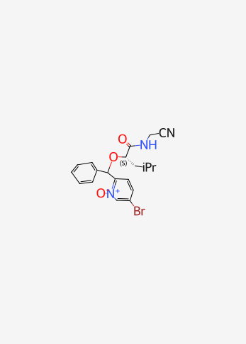 CC(C)C[C@H](OC(c1ccccc1)c1ccc(Br)c[n+]1[O-])C(=O)NCC#N